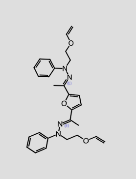 C=COCCN(/N=C(\C)c1ccc(/C(C)=N/N(CCOC=C)c2ccccc2)o1)c1ccccc1